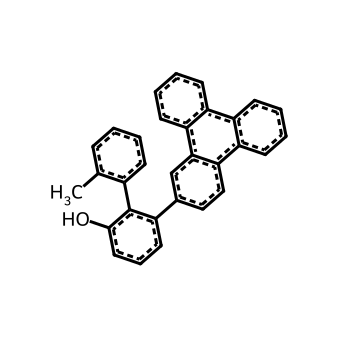 Cc1ccccc1-c1c(O)cccc1-c1ccc2c3ccccc3c3ccccc3c2c1